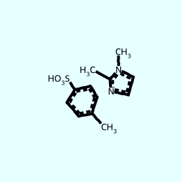 Cc1ccc(S(=O)(=O)O)cc1.Cc1nccn1C